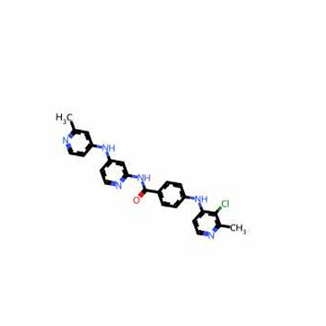 Cc1cc(Nc2ccnc(NC(=O)c3ccc(Nc4ccnc(C)c4Cl)cc3)c2)ccn1